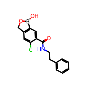 O=C(NCCc1ccccc1)c1cc2c(cc1Cl)COB2O